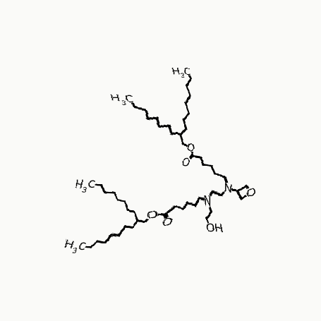 CCCCCCCCC(CCCCCCCC)COC(=O)CCCCCN(CCO)CCN(CCCCCC(=O)OCC(CCCCCCCC)CCCCCCCC)C1COC1